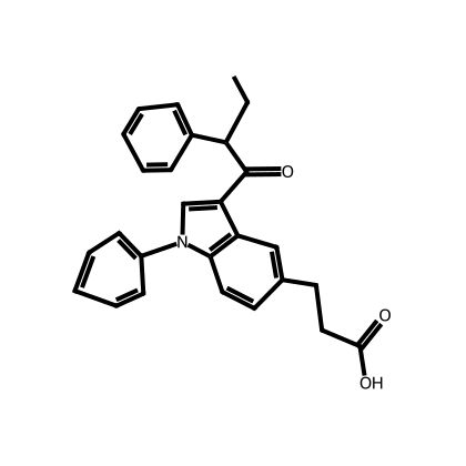 CCC(C(=O)c1cn(-c2ccccc2)c2ccc(CCC(=O)O)cc12)c1ccccc1